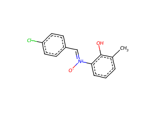 Cc1cccc([N+]([O-])=Cc2ccc(Cl)cc2)c1O